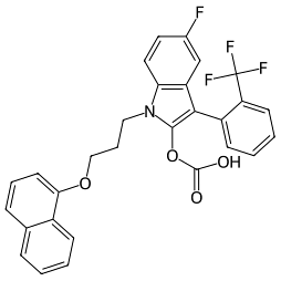 O=C(O)Oc1c(-c2ccccc2C(F)(F)F)c2cc(F)ccc2n1CCCOc1cccc2ccccc12